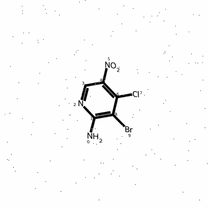 Nc1ncc([N+](=O)[O-])c(Cl)c1Br